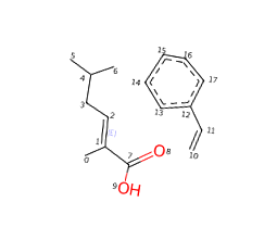 C/C(=C\CC(C)C)C(=O)O.C=Cc1ccccc1